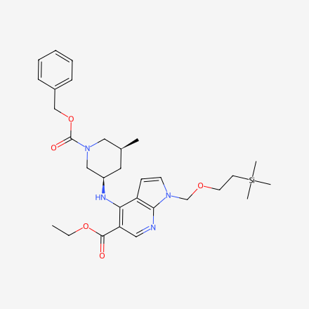 CCOC(=O)c1cnc2c(ccn2COCC[Si](C)(C)C)c1N[C@@H]1C[C@H](C)CN(C(=O)OCc2ccccc2)C1